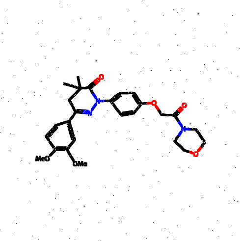 COc1ccc(C2=NN(c3ccc(OCC(=O)N4CCOCC4)cc3)C(=O)C(C)(C)C2)cc1OC